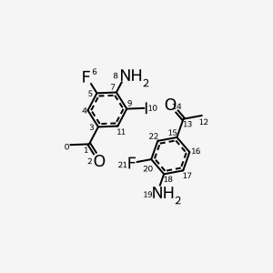 CC(=O)c1cc(F)c(N)c(I)c1.CC(=O)c1ccc(N)c(F)c1